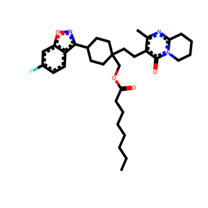 CCCCCCCC(=O)OCC1(CCc2c(C)nc3n(c2=O)CCCC3)CCC(c2noc3cc(F)ccc23)CC1